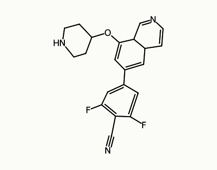 N#Cc1c(F)cc(C2=CC3C=CN=CC3C(OC3CCNCC3)=C2)cc1F